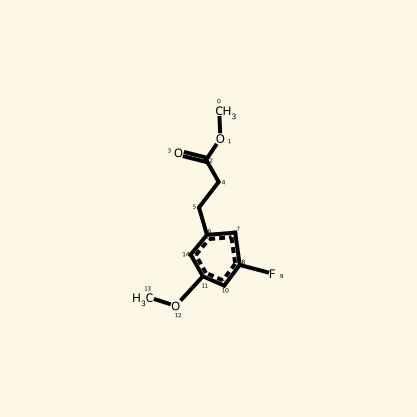 COC(=O)CCc1cc(F)cc(OC)c1